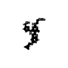 COCCNc1nc(C)c(C2Cc3cc(OCC4CC4)ncc3O2)c(N[C@H]2CC[C@@H](CO)C2)n1